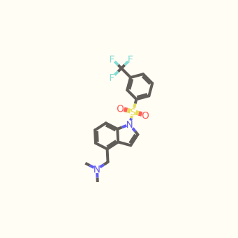 CN(C)Cc1cccc2c1ccn2S(=O)(=O)c1cccc(C(F)(F)F)c1